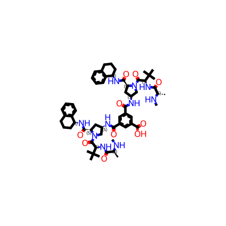 CN[C@@H](C)C(=O)N[C@H](C(=O)N1C[C@@H](NC(=O)c2cc(C(=O)O)cc(C(=O)N[C@H]3C[C@@H](C(=O)N[C@@H]4CCCc5ccccc54)N(C(=O)[C@@H](NC(=O)[C@H](C)NC)C(C)(C)C)C3)c2)C[C@H]1C(=O)N[C@@H]1CCCc2ccccc21)C(C)(C)C